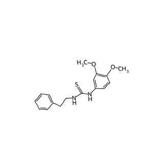 COc1ccc(NC(=S)NCCc2ccccc2)cc1OC